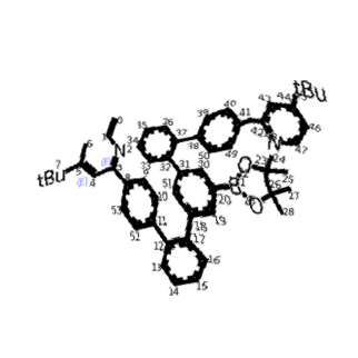 C=C/N=C(\C=C(/C)C(C)(C)C)c1ccc(-c2ccccc2-c2cc(B3OC(C)(C)C(C)(C)O3)cc(-c3ccccc3-c3ccc(-c4cc(C(C)(C)C)ccn4)cc3)c2)cc1